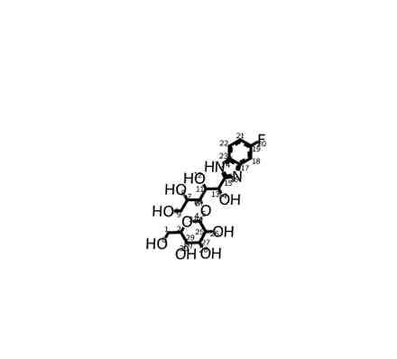 OCC1O[C@H](O[C@H](C(O)CO)C(O)C(O)c2nc3cc(F)ccc3[nH]2)C(O)C(O)[C@@H]1O